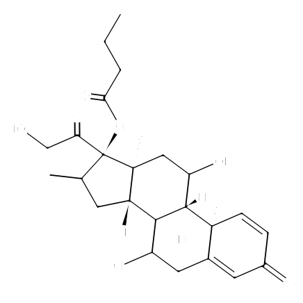 CCCC(=O)O[C@]1(C(=O)CO)C(C)C[C@H]2[C@@H]3C(Cl)CC4=CC(=O)C=C[C@]4(C)[C@H]3C(O)C[C@@]21C